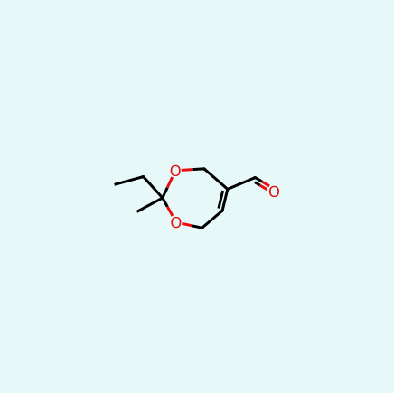 CCC1(C)OCC=C(C=O)CO1